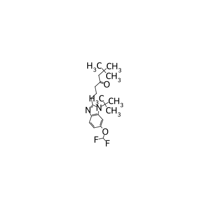 CC(C)(C)CC(=O)CCCc1nc2ccc(OC(F)F)cc2n1C(C)(C)C